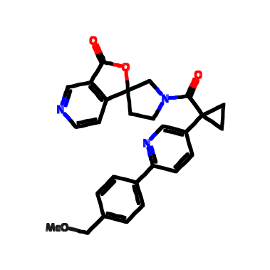 COCc1ccc(-c2ccc(C3(C(=O)N4CCC5(C4)OC(=O)c4cnccc45)CC3)cn2)cc1